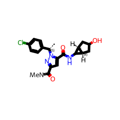 CNC(=O)c1cc(C(=O)NC2[C@H]3CC(O)C[C@@H]23)n([C@@H](C)c2ccc(Cl)cc2)n1